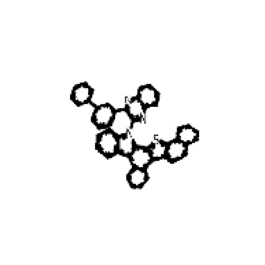 c1ccc(-c2cccc(-c3nc4ccccc4nc3-n3c4ccccc4c4c5ccccc5c5c6ccc7ccccc7c6sc5c43)c2)cc1